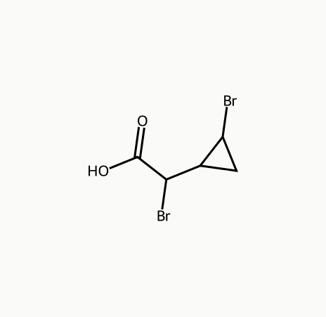 O=C(O)C(Br)C1CC1Br